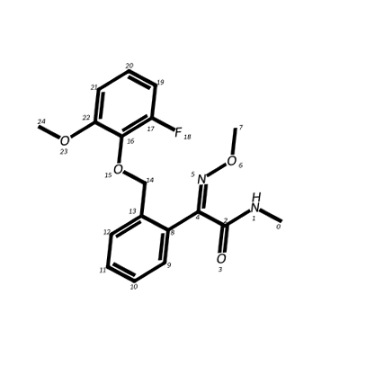 CNC(=O)C(=NOC)c1ccccc1COc1c(F)cccc1OC